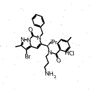 Cc1ccc(C(=O)N(CCCN)[C@@H](c2cc3c(Br)c(C)nn3c(=O)n2Cc2ccccc2)C(C)C)cc1.Cl